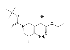 CCOC(=O)C(=N)C1=C(N)C(C)CN(C(=O)OC(C)(C)C)C1